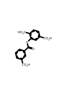 O=C(O)c1cccc(C(=O)Oc2cc(C(=O)O)ccc2C(=O)O)c1